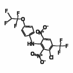 O=[N+]([O-])c1cc(C(F)(F)F)c(Cl)c([N+](=O)[O-])c1Nc1ccc(OC(F)(F)C(F)F)cc1